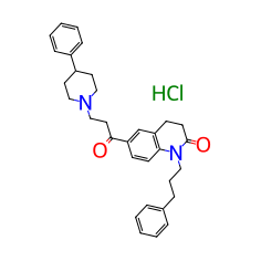 Cl.O=C(CCN1CCC(c2ccccc2)CC1)c1ccc2c(c1)CCC(=O)N2CCCc1ccccc1